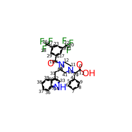 O=C(O)[C@@H](c1ccccc1)N1CCN(C(=O)c2cc(C(F)(F)F)cc(C(F)(F)F)c2)[C@H](Cc2c[nH]c3ccccc23)C1